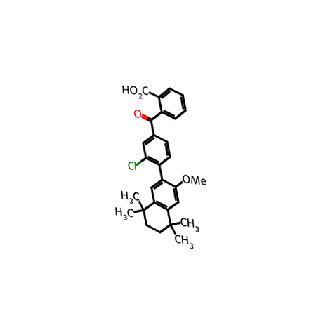 COc1cc2c(cc1-c1ccc(C(=O)c3ccccc3C(=O)O)cc1Cl)C(C)(C)CCC2(C)C